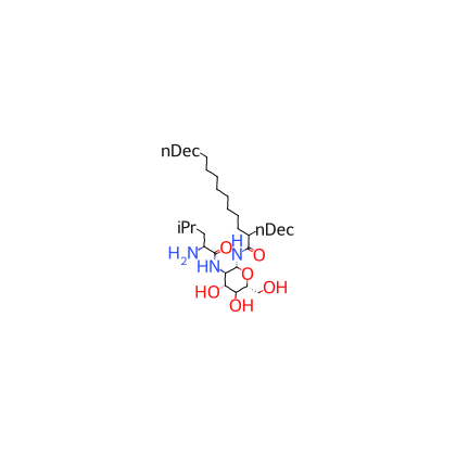 CCCCCCCCCCCCCCCCCCC(CCCCCCCCCC)C(=O)N[C@@H]1O[C@H](CO)[C@@H](O)[C@H](O)[C@H]1NC(=O)[C@@H](N)CC(C)C